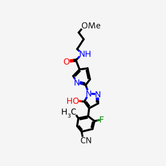 COCCCNC(=O)c1ccc(-n2ncc(-c3c(C)cc(C#N)cc3F)c2O)nc1